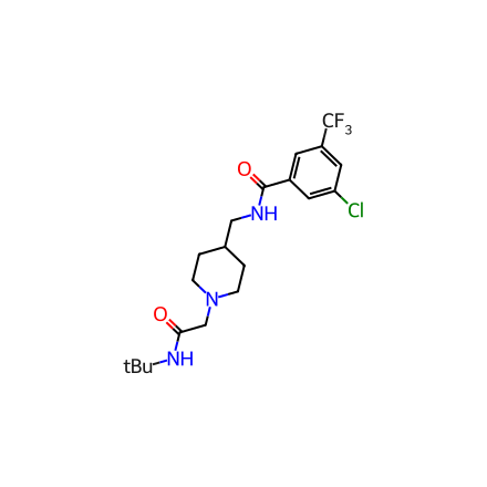 CC(C)(C)NC(=O)CN1CCC(CNC(=O)c2cc(Cl)cc(C(F)(F)F)c2)CC1